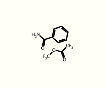 NC(=O)c1ccccc1.O=C(OC(F)(F)F)C(F)(F)F